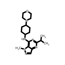 CC(C)c1nc(NC2CCC(N3CCOCC3)CC2)c2c(cnn2C)n1